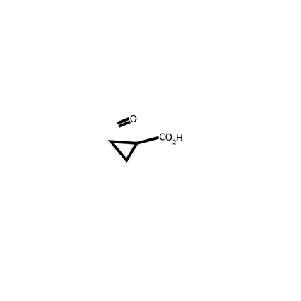 C=O.O=C(O)C1CC1